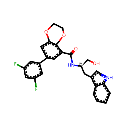 O=C(N[C@@H](CO)Cc1c[nH]c2ccccc12)c1cc(-c2cc(F)cc(F)c2)cc2c1OCCO2